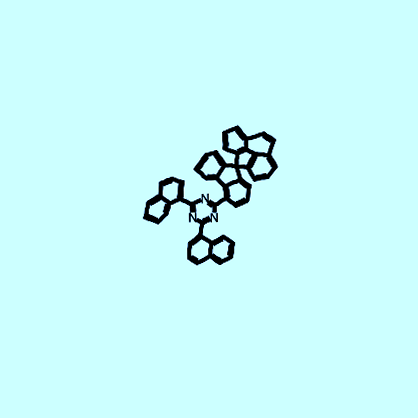 c1ccc2c(c1)-c1c(-c3nc(-c4cccc5ccccc45)nc(-c4cccc5ccccc45)n3)cccc1C21c2cccc3ccc4cccc1c4c23